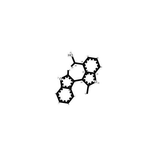 Cc1oc2ccccc2c1-c1c(C)oc2cccc(C(C)O)c12